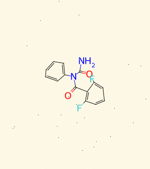 NC(=O)N(C(=O)c1c(F)cccc1F)c1ccccc1